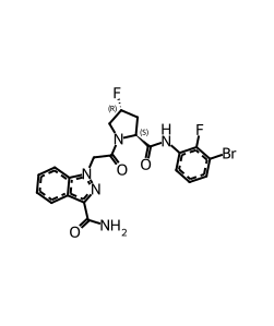 NC(=O)c1nn(CC(=O)N2C[C@H](F)C[C@H]2C(=O)Nc2cccc(Br)c2F)c2ccccc12